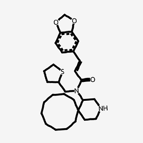 O=C(/C=C/c1ccc2c(c1)OCO2)N(CC1CCCS1)C1CNCCC12CCCCCCCCC2